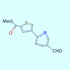 COC(=O)c1cc(-c2ccc(C=O)cn2)cs1